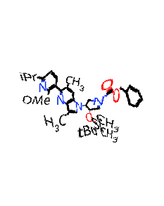 COc1nc(C(C)C)ccc1-c1nc2c(C)cn([C@@H]3CN(C(=O)OCc4ccccc4)C[C@@H]3O[Si](C)(C)C(C)(C)C)c2cc1C